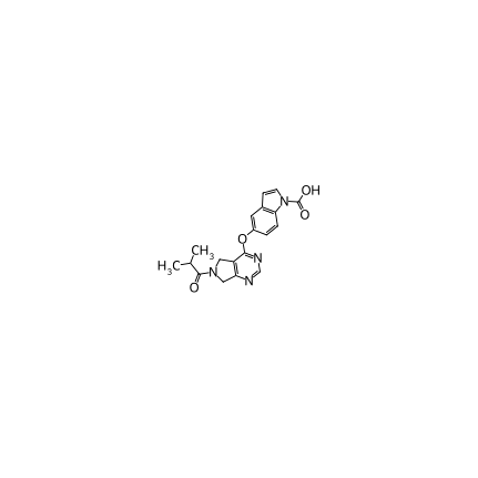 CC(C)C(=O)N1Cc2ncnc(Oc3ccc4c(ccn4C(=O)O)c3)c2C1